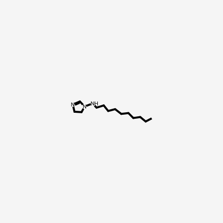 CCCCCCCCCCNN1C=NCC1